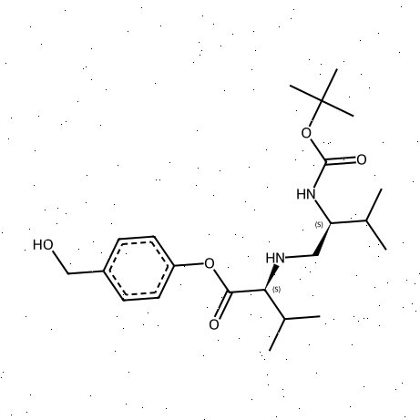 CC(C)[C@H](NC[C@@H](NC(=O)OC(C)(C)C)C(C)C)C(=O)Oc1ccc(CO)cc1